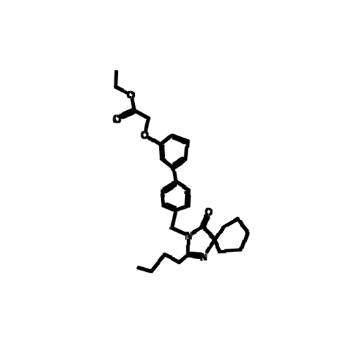 CCCCC1=NC2(CCCCC2)C(=O)N1Cc1ccc(-c2cccc(OCC(=O)OCC)c2)cc1